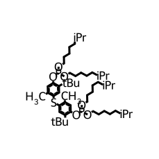 Cc1cc(OP(OCCCCCC(C)C)OCCCCCC(C)C)c(C(C)(C)C)cc1Sc1cc(C(C)(C)C)c(OP(OCCCCCC(C)C)OCCCCCC(C)C)cc1C